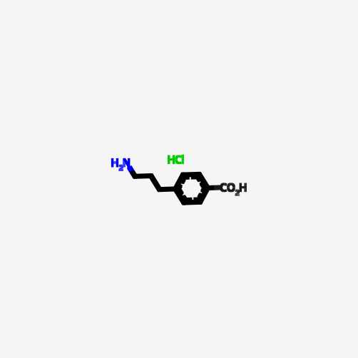 Cl.NCCCc1ccc(C(=O)O)cc1